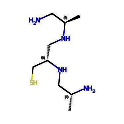 C[C@H](CN)NC[C@@H](CS)NC[C@@H](C)N